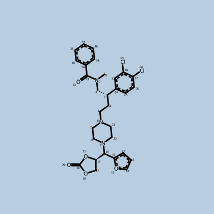 CN(C[C@@H](CCN1CCN(C(c2ccco2)[C@H]2COC(=O)O2)CC1)c1ccc(Cl)c(Cl)c1)C(=O)c1ccccc1